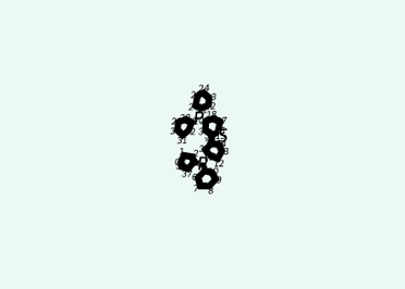 c1ccc(P(c2ccccc2)c2ccc3sc4ccc(P(c5ccccc5)c5ccccc5)cc4c3c2)cc1